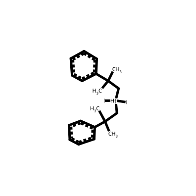 CC(C)([CH2][Hf]([I])([I])[CH2]C(C)(C)c1ccccc1)c1ccccc1